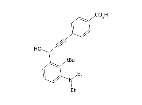 CCN(CC)c1cccc(C(O)C#Cc2ccc(C(=O)O)cc2)c1C(C)(C)C